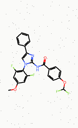 COc1cc(F)c(-n2cc(-c3ccccc3)nc2NC(=O)c2ccc(OC(F)F)cc2)c(F)c1